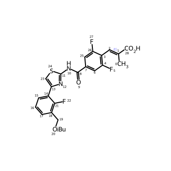 C/C(=C\c1c(F)cc(C(=O)Nc2nc(-c3cccc(COCC(C)C)c3F)cs2)cc1F)C(=O)O